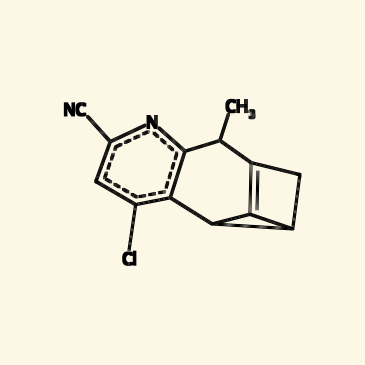 CC1C2=C3C(C2)C3c2c(Cl)cc(C#N)nc21